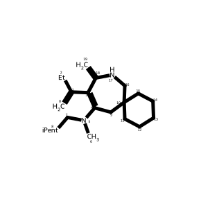 C=C(CC)C1=C(N(C)CC(C)CCC)CC2(CCCCC2)CNC1=C